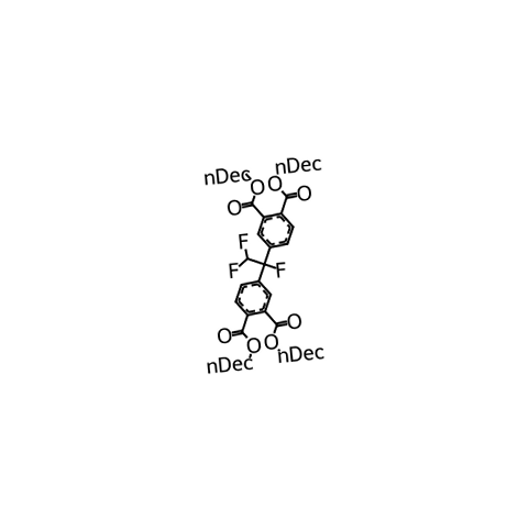 CCCCCCCCCCOC(=O)c1ccc(C(F)(c2ccc(C(=O)OCCCCCCCCCC)c(C(=O)OCCCCCCCCCC)c2)C(F)F)cc1C(=O)OCCCCCCCCCC